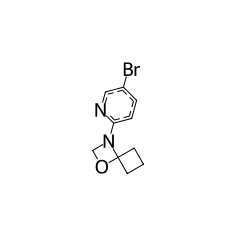 Brc1ccc(N2COC23CCC3)nc1